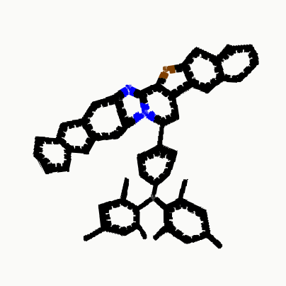 Cc1cc(C)c(B(c2ccc(-c3cc4c5cc6ccccc6cc5sc4c4nc5cc6cc7ccccc7cc6cc5n34)cc2)c2c(C)cc(C)cc2C)c(C)c1